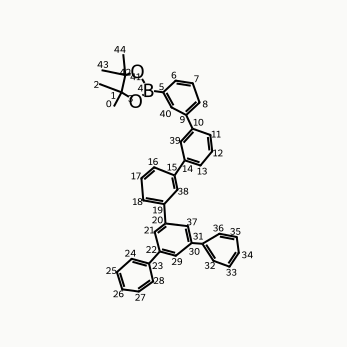 CC1(C)OB(c2cccc(-c3cccc(-c4cccc(-c5cc(-c6ccccc6)cc(-c6ccccc6)c5)c4)c3)c2)OC1(C)C